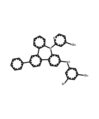 CC(C)(C)c1cc(Br)cc(Nc2ccc3c(c2)N(c2cc(C(C)(C)C)ccn2)c2ccccc2-c2cc(-c4ccccc4)ccc2-3)c1